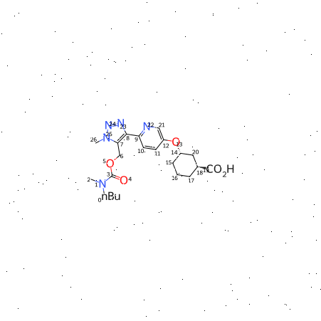 CCCCN(C)C(=O)OCc1c(-c2ccc(O[C@H]3CCC[C@H](C(=O)O)C3)cn2)nnn1C